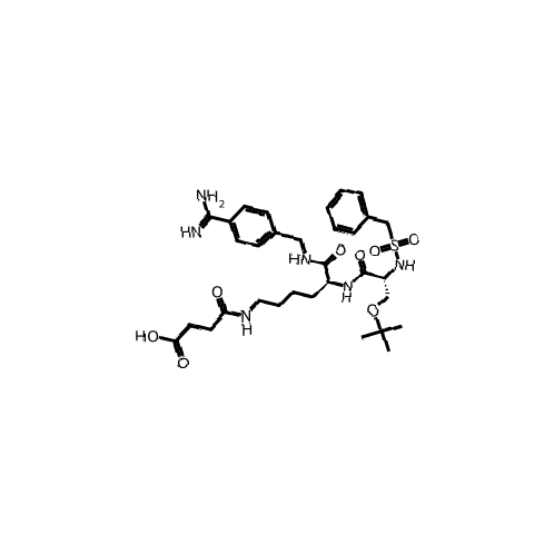 CC(C)(C)OC[C@@H](NS(=O)(=O)Cc1ccccc1)C(=O)N[C@@H](CCCCNC(=O)CCC(=O)O)C(=O)NCc1ccc(C(=N)N)cc1